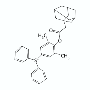 Cc1cc([S+](c2ccccc2)c2ccccc2)cc(C)c1OC(=O)CC12CC3CC(CC(C3)C1)C2